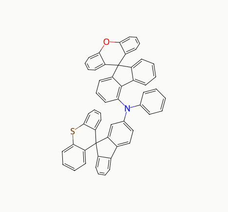 c1ccc(N(c2ccc3c(c2)C2(c4ccccc4Sc4ccccc42)c2ccccc2-3)c2cccc3c2-c2ccccc2C32c3ccccc3Oc3ccccc32)cc1